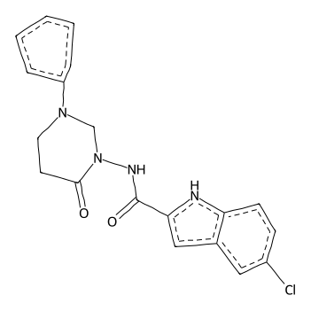 O=C(NN1CN(c2ccccc2)CCC1=O)c1cc2cc(Cl)ccc2[nH]1